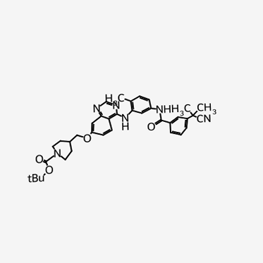 Cc1ccc(NC(=O)c2cccc(C(C)(C)C#N)c2)cc1Nc1ncnc2cc(OCC3CCN(C(=O)OC(C)(C)C)CC3)ccc12